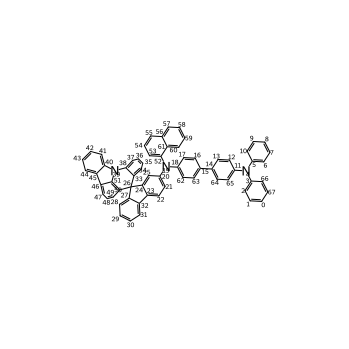 c1ccc(N(c2ccccc2)c2ccc(-c3ccc(N(c4ccc5c(c4)C4(c6ccccc6-5)c5ccccc5-n5c6ccccc6c6cccc4c65)c4cccc5ccccc45)cc3)cc2)cc1